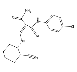 N#CC1CCCC[C@@H]1N/C=C(\C(=N)Nc1ccc(Cl)cc1)C(N)=O